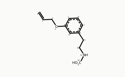 C=CCOc1cccc(CCNC(=O)O)c1